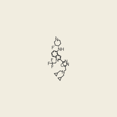 CN1CC[C@H](Nc2cccc3c2cc(-c2nnc(CN(CC4CC4)CC4CC4)o2)n3CC(F)(F)F)[C@H](F)C1